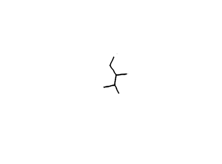 CCCC(CC)C(C)CO